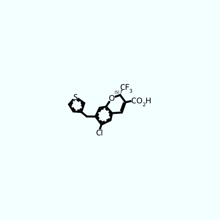 O=C(O)C1=Cc2cc(Cl)c(Cc3ccsc3)cc2O[C@@H]1C(F)(F)F